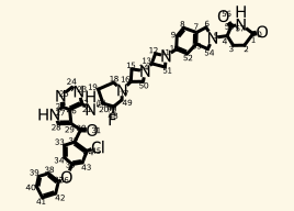 O=C1CCC(N2Cc3ccc(N4CC(N5CC(N6CC[C@@H](Nc7ncnc8[nH]cc(C(=O)c9ccc(Oc%10ccccc%10)cc9Cl)c78)[C@H](F)C6)C5)C4)cc3C2)C(=O)N1